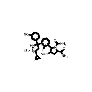 COC1CC(C(N)=O)N(C(N)=O)C1c1cccc(C(CCC2CC2)(N[S@+]([O-])C(C)(C)C)c2cccc(C#N)c2)c1F